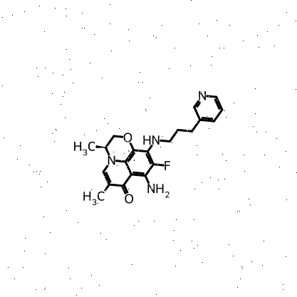 Cc1cn2c3c(c(NCCCc4cccnc4)c(F)c(N)c3c1=O)OC[C@@H]2C